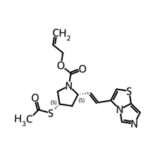 C=CCOC(=O)N1C[C@@H](SC(C)=O)C[C@H]1C=Cc1csc2cncn12